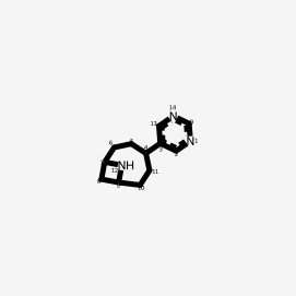 c1ncc(C2CCC3CC(CC2)N3)cn1